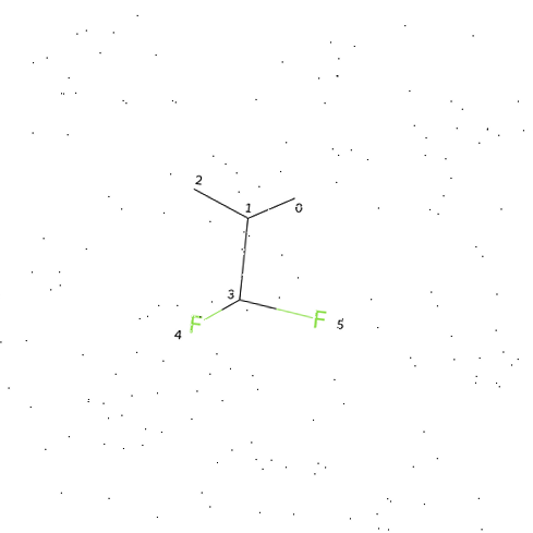 CC(C)C(F)F